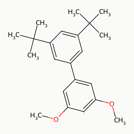 COc1[c]c(OC)cc(-c2cc(C(C)(C)C)cc(C(C)(C)C)c2)c1